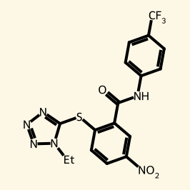 CCn1nnnc1Sc1ccc([N+](=O)[O-])cc1C(=O)Nc1ccc(C(F)(F)F)cc1